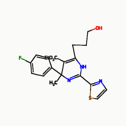 CCOC(=O)C1=C(CCCO)NC(c2nccs2)=NC1(C)c1ccc(F)cc1